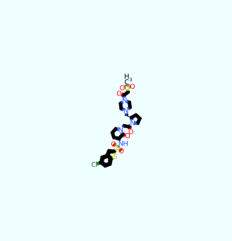 CS(=O)(=O)CC(=O)N1CCN(C[C@@H]2CCCN2C(=O)CN2CCC[C@H](NS(=O)(=O)c3cc4cc(Cl)ccc4s3)C2=O)CC1